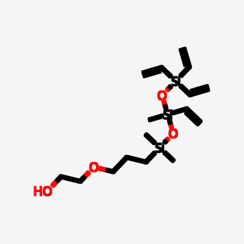 C=C[Si](C=C)(C=C)O[Si](C)(C=C)O[Si](C)(C)CCCOCCO